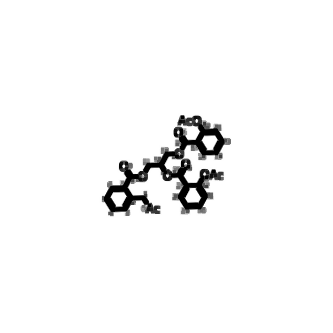 CC(=O)Cc1ccccc1C(=O)OCC(COC(=O)c1ccccc1OC(C)=O)OC(=O)c1ccccc1OC(C)=O